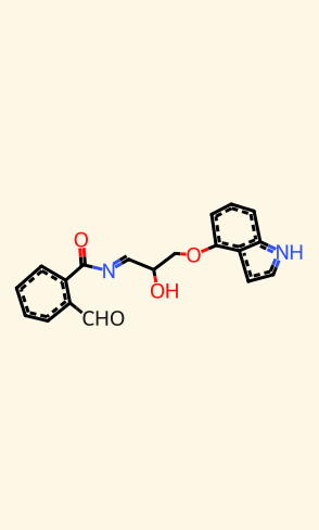 O=Cc1ccccc1C(=O)N=CC(O)COc1cccc2[nH]ccc12